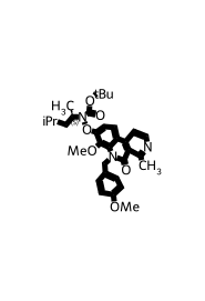 COc1ccc(Cn2c(=O)c3c(C)nccc3c3ccc(ON(C(=O)OC(C)(C)C)[C@@H](C)CC(C)C)c(OC)c32)cc1